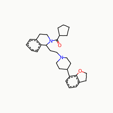 O=C(C1CCCC1)N1CCc2ccccc2C1CCN1CCC(c2cccc3c2OCC3)CC1